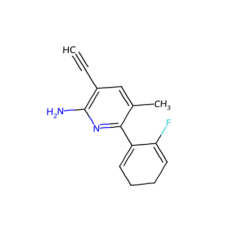 C#Cc1cc(C)c(C2=CCCC=C2F)nc1N